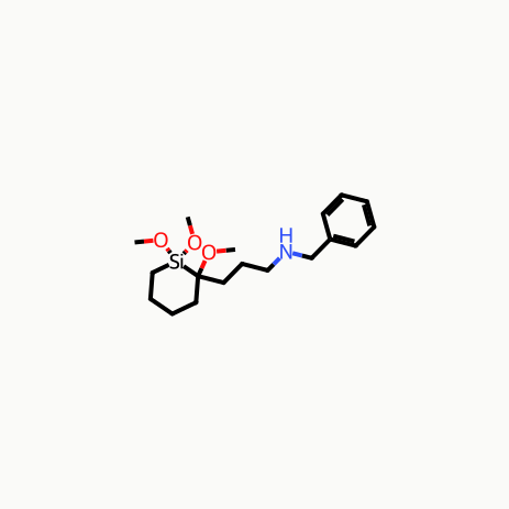 COC1(CCCNCc2ccccc2)CCCC[Si]1(OC)OC